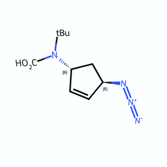 CC(C)(C)N(C(=O)O)[C@H]1C=C[C@H](N=[N+]=[N-])C1